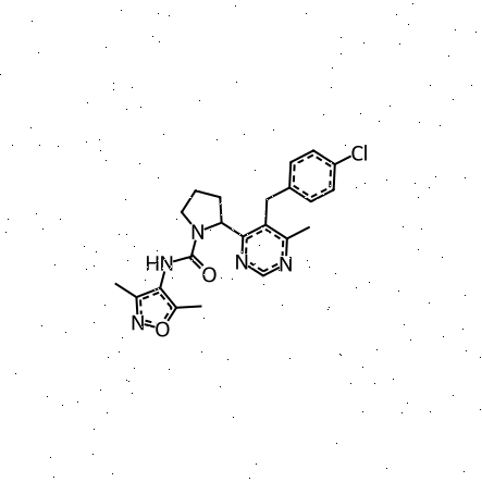 Cc1ncnc(C2CCCN2C(=O)Nc2c(C)noc2C)c1Cc1ccc(Cl)cc1